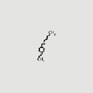 C=CCN1CCC(CSCCCCC)CC1